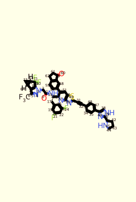 O=C(Cn1nc(C(F)(F)F)c2c1C(F)(F)[C@@H]1C[C@H]21)N[C@@H](Cc1cc(F)cc(F)c1)c1nc2nc(C#Cc3ccc(-c4c[nH]c(C5CCCN5)n4)cc3)sc2cc1-c1ccc2c(c1)C(=O)CC2